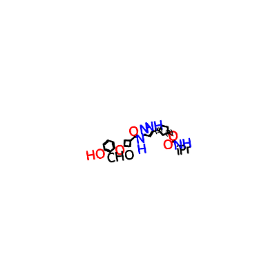 CC(C)NC(=O)O[C@@H]1CC[C@H](c2cc(NC(=O)C3CC(Oc4cccc(O)c4C=O)C3)n[nH]2)C1